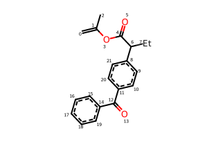 C=C(C)OC(=O)C(CC)c1ccc(C(=O)c2ccccc2)cc1